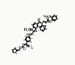 COc1ccccc1OC(=O)CCN(C(=O)c1ccc2c(c1)nc(CNc1ccc(/C(N)=N/C(=O)OCC3CCCC3)cc1)n2C)c1ccccn1